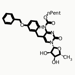 CCCCCOC(=O)Nc1nc(=O)n([C@@H]2O[C@H](C)[C@@H](O)[C@H]2O)cc1Cc1cccc(OCc2ccccc2)c1